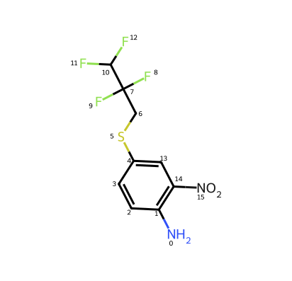 Nc1ccc(SCC(F)(F)C(F)F)cc1[N+](=O)[O-]